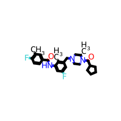 Cc1cc(C(=O)Nc2cc(F)cc(CN3CCN(C(=O)C4CCCC4)[C@@H](C)C3)c2C)ccc1F